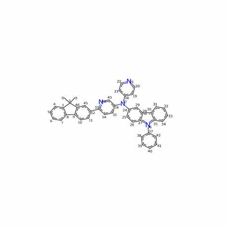 CC1(C)c2ccccc2-c2ccc(-c3ccc(N(c4ccncc4)c4ccc5c(c4)c4ccccc4n5-c4ccccc4)cn3)cc21